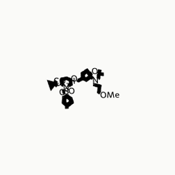 COCCCN1CC(C)(C)Oc2ccc(CO[C@@H]3CC[C@@H](CC4(C(=O)O)CC4)N(S(=O)(=O)c4ccc(C)cc4)C3)cc21